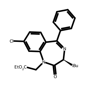 CCOC(=O)CN1C(=O)[C@H](C(C)CC)N=C(c2ccccc2)c2ccc(Cl)cc21